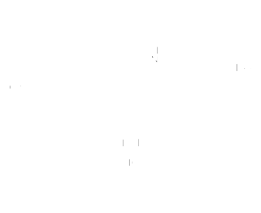 CCCCCCCCCCCCCCNC(=O)CCCCCCCCCCC.Cl.Cl.Cl